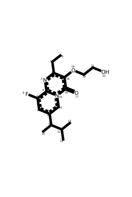 CCc1nc2c(F)cc(C(C)C(C)C)cn2c(=O)c1OCCO